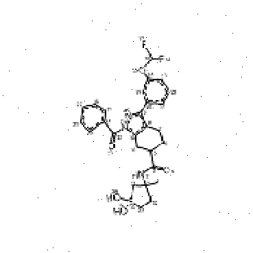 CC1(NC(=O)C2CCc3c(-c4cccc(OC(F)F)c4)nn(C(=O)c4ccccc4)c3C2)CCS(O)(O)C1